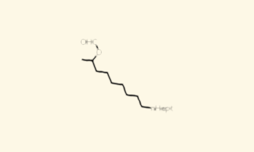 CCCCCCCCCCCCCCC(C)OC=O